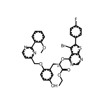 CCOC(=O)[C@@H](Cc1cc(O)ccc1OCc1ccnc(-c2ccccc2OC)n1)Oc1ncnc2sc(-c3ccc(F)cc3)c(Br)c12